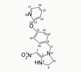 O=[N+]([O-])C=C1NCCN1Cc1ccc(Oc2ccccn2)cc1